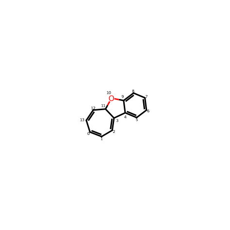 C1=CC=C2c3ccccc3OC2C=C1